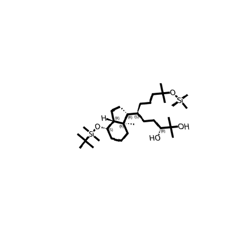 CC(C)(CCC[C@@H](CC[C@@H](O)C(C)(C)O)[C@H]1CC[C@H]2[C@@H](O[Si](C)(C)C(C)(C)C)CCC[C@]12C)O[Si](C)(C)C